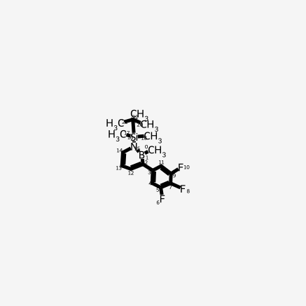 CB1C(c2cc(F)c(F)c(F)c2)=CC=CN1[Si](C)(C)C(C)(C)C